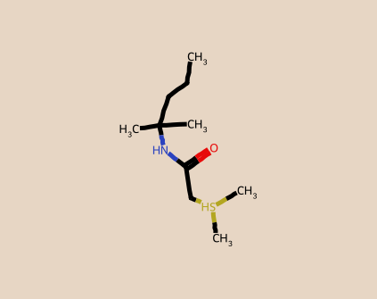 CCCC(C)(C)NC(=O)C[SH](C)C